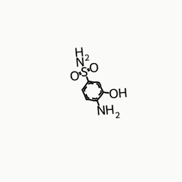 Nc1ccc(S(N)(=O)=O)cc1O